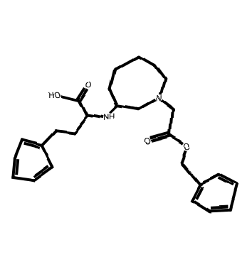 O=C(CN1CCCCCC(NC(CCc2ccccc2)C(=O)O)C1)OCc1ccccc1